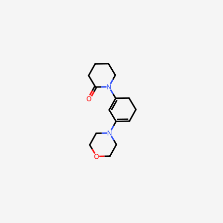 O=C1CCCCN1C1=CC(N2CCOCC2)=CCC1